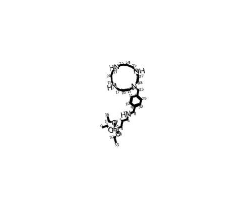 CCO[Si](CCCNCc1ccc(CN2CCCNCCCNCCCNCC2)cc1)(OCC)OCC